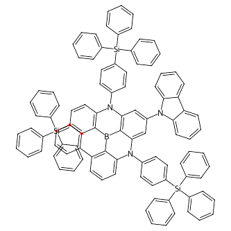 c1ccc(-c2cccc3c2B2c4cc([Si](c5ccccc5)(c5ccccc5)c5ccccc5)ccc4N(c4ccc([Si](c5ccccc5)(c5ccccc5)c5ccccc5)cc4)c4cc(-n5c6ccccc6c6ccccc65)cc(c42)N3c2ccc([Si](c3ccccc3)(c3ccccc3)c3ccccc3)cc2)cc1